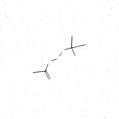 CC(=O)ONNC(C)(C)C